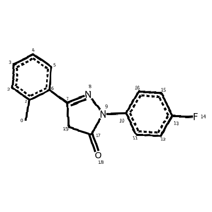 Cc1ccccc1C1=NN(c2ccc(F)cc2)C(=O)C1